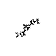 CC(C)P(=O)(OCc1cnc([N+](=O)[O-])s1)OCc1cnc([N+](=O)[O-])s1